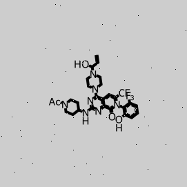 C=CC(O)N1CCN(c2nc(NC3CCN(C(C)=O)CC3)nc3c(=O)n(-c4c(O)cccc4F)c(C(F)(F)F)cc23)CC1